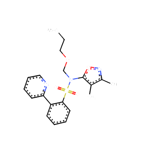 COCCOCN(c1onc(C)c1C)S(=O)(=O)c1ccccc1-c1ccccn1